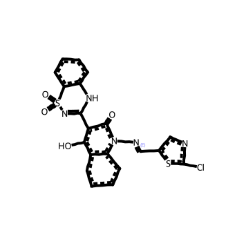 O=c1c(C2=NS(=O)(=O)c3ccccc3N2)c(O)c2ccccc2n1/N=C/c1cnc(Cl)s1